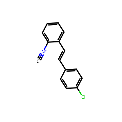 [C-]#[N+]c1ccccc1C=Cc1ccc(Cl)cc1